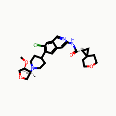 CO[C@@H]1COC[C@]1(C)N1CCC(c2cc3cc(NC(=O)[C@@H]4CC45CCOCC5)ncc3cc2Cl)CC1